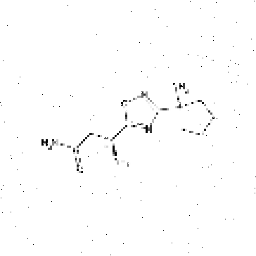 NC(=O)C[C@H](N)c1nc(C2(N)CCCC2)no1